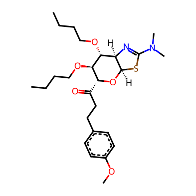 CCCCO[C@@H]1[C@H]2N=C(N(C)C)S[C@H]2O[C@H](C(=O)CCc2ccc(OC)cc2)[C@H]1OCCCC